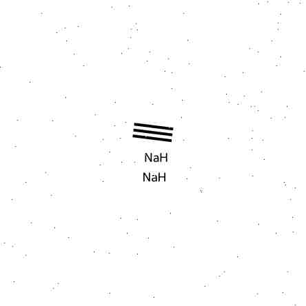 C#C.[NaH].[NaH]